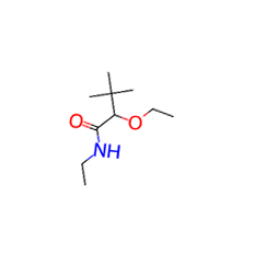 CCNC(=O)C(OCC)C(C)(C)C